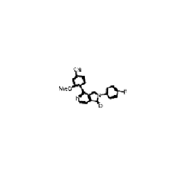 COc1cc(C#N)ccc1-c1nccc2c1CN(c1ccc(F)cc1)C2=O